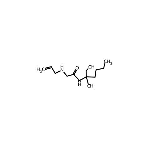 C=CCNCC(=O)NC(C)(CC)CCCC